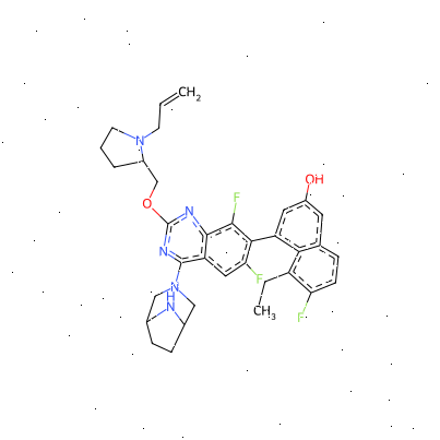 C=CCN1CCCC1COc1nc(N2CC3CCC(C2)N3)c2cc(F)c(-c3cc(O)cc4ccc(F)c(CC)c34)c(F)c2n1